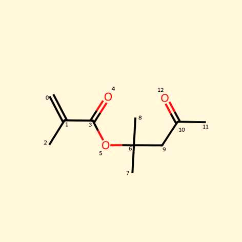 C=C(C)C(=O)OC(C)(C)CC(C)=O